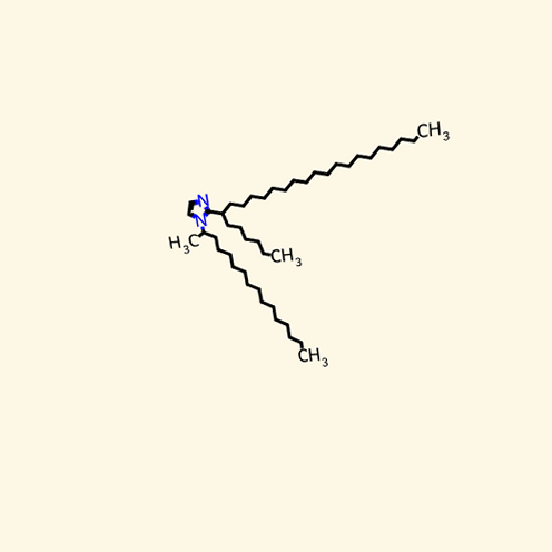 CCCCCCCCCCCCCCCCCCCC(CCCCCC)c1nccn1C(C)CCCCCCCCCCCCCC